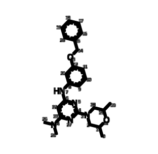 CC1CN(c2nc(Nc3cccc(OCc4ccccc4)c3)cc(N(C)C)n2)CC(C)O1